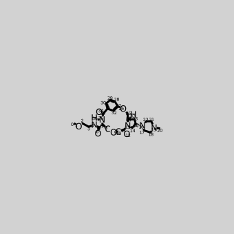 COCCNC(=O)[C@@H]1COCC(=O)N2C[C@@H](N3CCN(C)CC3)C[C@H]2COc2cccc(c2)C(=O)N1C